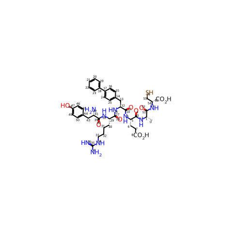 C[C@H](NC(=O)[C@H](CCC(=O)O)NC(=O)[C@H](Cc1ccc(-c2ccccc2)cc1)NC(=O)[C@H](CCCCNC(=N)N)NC(=O)[C@@H](N)Cc1ccc(O)cc1)C(=O)N[C@H](CS)C(=O)O